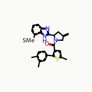 C=C1CC(c2nc3cccc(SC)c3[nH]2)N(C(=O)c2cc(C)sc2-c2ccc(C)c(C)c2)C1